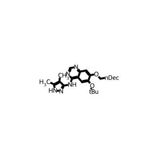 CCCCCCCCCCCOc1cc2ncnc(Nc3n[nH]c(C)c3C)c2cc1OC(C)(C)C